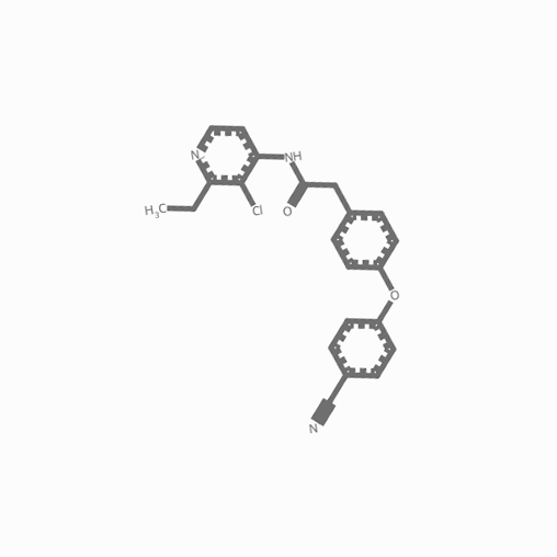 CCc1nccc(NC(=O)Cc2ccc(Oc3ccc(C#N)cc3)cc2)c1Cl